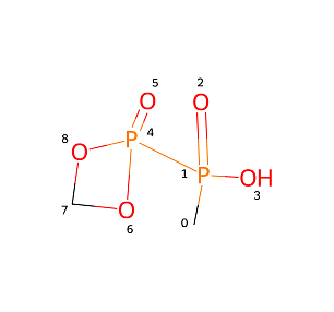 CP(=O)(O)P1(=O)OCO1